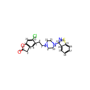 O=C1Cc2cc(CCN3CCN(c4nsc5ccccc45)CC3)c(Cl)cc2O1